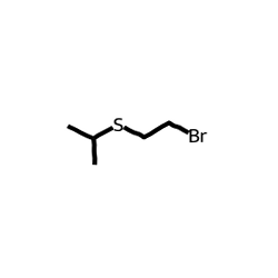 CC(C)SCCBr